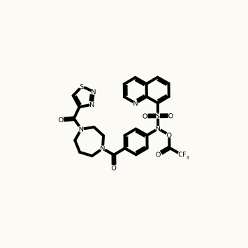 O=C(c1ccc(N(OC(=O)C(F)(F)F)S(=O)(=O)c2cccc3cccnc23)cc1)N1CCCN(C(=O)c2csnn2)CC1